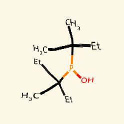 CCC(C)(C)P(O)C(C)(CC)CC